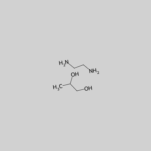 CC(O)CO.NCCN